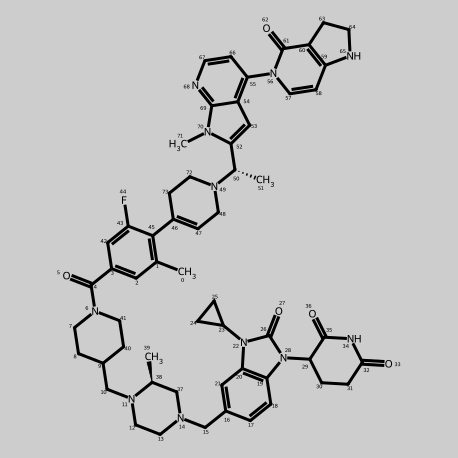 Cc1cc(C(=O)N2CCC(CN3CCN(Cc4ccc5c(c4)n(C4CC4)c(=O)n5C4CCC(=O)NC4=O)C[C@@H]3C)CC2)cc(F)c1C1=CCN([C@@H](C)c2cc3c(-n4ccc5c(c4=O)CCN5)ccnc3n2C)CC1